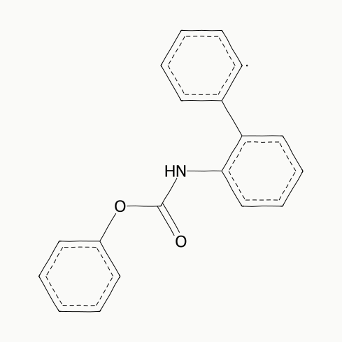 O=C(Nc1ccccc1-c1[c]cccc1)Oc1ccccc1